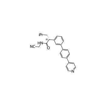 CC(C)C[C@@H](C(=O)NCC#N)c1cccc(-c2ccc(-c3ccncc3)cc2)c1